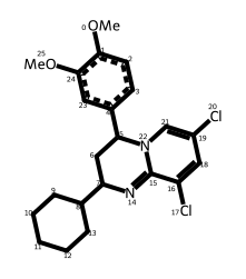 COc1ccc(C2CC(C3CCCCC3)N=C3C(Cl)=CC(Cl)=CN32)cc1OC